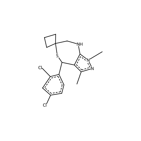 Cc1nn(C)c2c1C(c1ccc(Cl)cc1Cl)SC1(CCC1)CN2